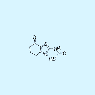 O=C(S)Nc1nc2c(s1)C(=O)CCC2